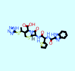 CC(Sc1nnn[nH]1)C1=C(C(=O)O)N2C(=O)C(NC(=O)C(NC(=O)c3nc4ccccc4[nH]3)c3cccs3)[C@@H]2SC1